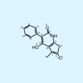 Cc1c(Cl)sc2[nH]c(=O)c(-c3ccccc3)c(O)c12